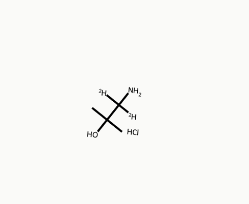 Cl.[2H]C([2H])(N)C(C)(C)O